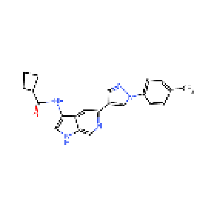 O=C(Nc1c[nH]c2cnc(-c3cnn(-c4ccc(C(F)(F)F)cc4)c3)cc12)C1CCC1